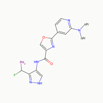 CCCN(CCC)c1cc(-c2nc(C(=O)Nc3c[nH]nc3C(F)P)co2)ccn1